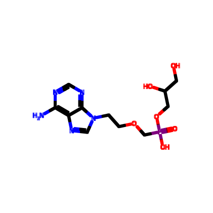 Nc1ncnc2c1ncn2CCOCP(=O)(O)OCC(O)CO